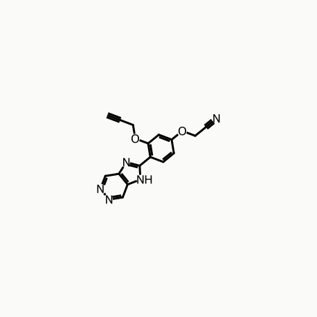 C#CCOc1cc(OCC#N)ccc1-c1nc2cnncc2[nH]1